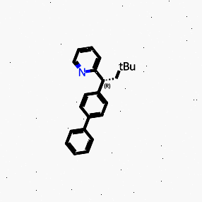 CC(C)(C)C[C@H](c1ccc(-c2ccccc2)cc1)c1ccccn1